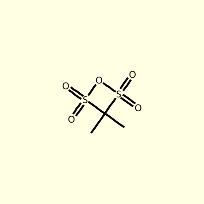 CC1(C)S(=O)(=O)OS1(=O)=O